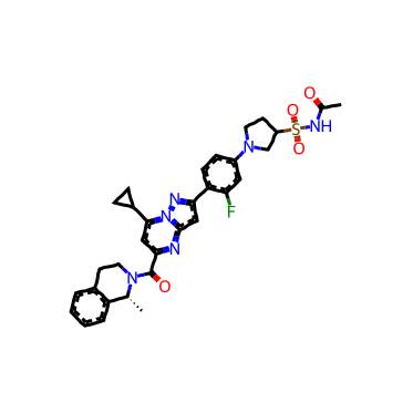 CC(=O)NS(=O)(=O)C1CCN(c2ccc(-c3cc4nc(C(=O)N5CCc6ccccc6[C@H]5C)cc(C5CC5)n4n3)c(F)c2)C1